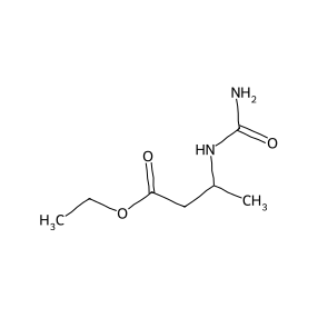 CCOC(=O)CC(C)NC(N)=O